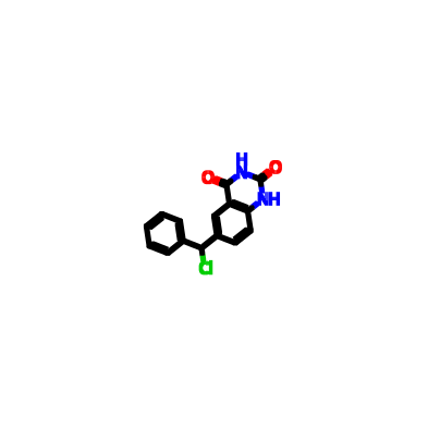 O=c1[nH]c(=O)c2cc(C(Cl)c3ccccc3)ccc2[nH]1